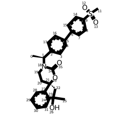 C[C@@H](c1ccc(-c2ccc(S(C)(=O)=O)cc2)cc1)N1CC[C@](CC(C)(C)O)(c2ccccc2)OC1=O